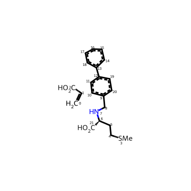 C=CC(=O)O.CSCC[C@H](NCc1ccc(-c2ccccc2)cc1)C(=O)O